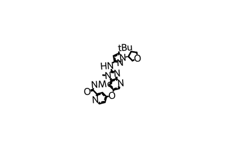 CNC(=O)c1cc(Oc2cnc3nc(Nc4cc(C(C)(C)C)n([C@H]5CCOC5)n4)n(C)c3c2)ccn1